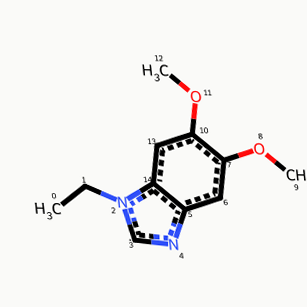 CCn1[c]nc2cc(OC)c(OC)cc21